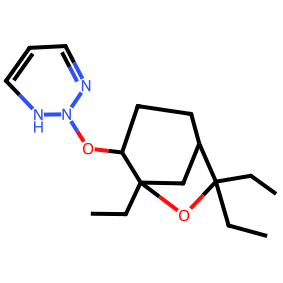 CCC1(CC)OC2(CC)CC1CCC2ON1N=CC=CN1